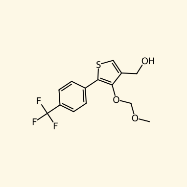 COCOc1c(CO)csc1-c1ccc(C(F)(F)F)cc1